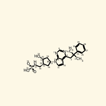 CC(C)(Cc1ncnc2c1ccn2[C@@H]1C[C@@H](CNS(=O)(=O)O)[C@@H](O)C1)c1ccccc1